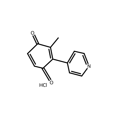 CC1=C(c2ccncc2)C(=O)C=CC1=O.Cl